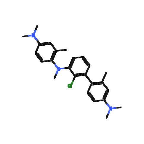 Cc1cc(N(C)C)ccc1-c1cccc(N(C)c2ccc(N(C)C)cc2C)c1Cl